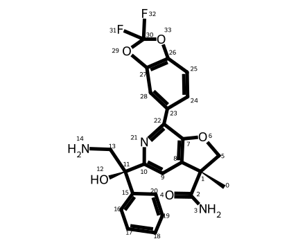 C[C@]1(C(N)=O)COc2c1cc([C@@](O)(CN)c1ccccc1)nc2-c1ccc2c(c1)OC(F)(F)O2